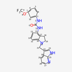 O=C(Nc1cccc(OC(F)(F)F)c1)Nc1cccc2c1CCN2Cc1c[nH]c2ncccc12